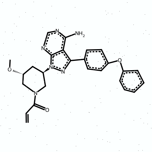 C=CC(=O)N1C[C@H](OC)C[C@@H](n2nc(-c3ccc(Oc4ccccc4)cc3)c3c(N)ncnc32)C1